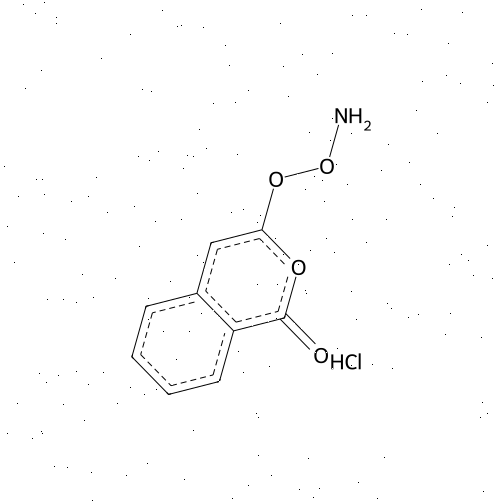 Cl.NOOc1cc2ccccc2c(=O)o1